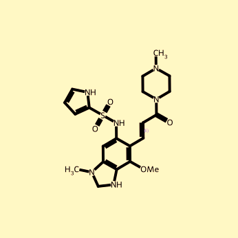 COc1c(/C=C/C(=O)N2CCN(C)CC2)c(NS(=O)(=O)c2ccc[nH]2)cc2c1NCN2C